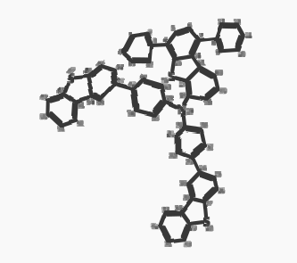 c1ccc(-c2ccc(-c3ccccc3)c3c2sc2c(N(c4ccc(-c5ccc6sc7ccccc7c6c5)cc4)c4ccc(-c5ccc6sc7ccccc7c6c5)cc4)cccc23)cc1